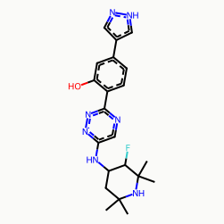 CC1(C)CC(Nc2cnc(-c3ccc(-c4cn[nH]c4)cc3O)nn2)C(F)C(C)(C)N1